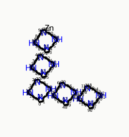 C1=Cc2cc3ccc(cc4nc(cc5ccc(cc1n2)[nH]5)C=C4)[nH]3.C1=Cc2cc3ccc(cc4nc(cc5ccc(cc1n2)[nH]5)C=C4)[nH]3.C1=Cc2cc3ccc(cc4nc(cc5ccc(cc1n2)[nH]5)C=C4)[nH]3.C1=Cc2cc3ccc(cc4nc(cc5ccc(cc1n2)[nH]5)C=C4)[nH]3.C1=Cc2cc3ccc(cc4nc(cc5ccc(cc1n2)[nH]5)C=C4)[nH]3.[Zn]